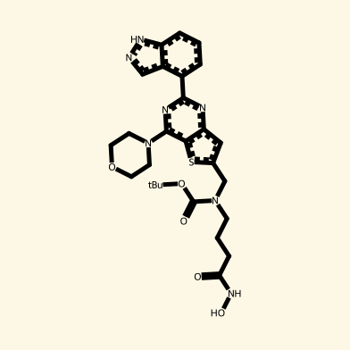 CC(C)(C)OC(=O)N(CCCC(=O)NO)Cc1cc2nc(-c3cccc4[nH]ncc34)nc(N3CCOCC3)c2s1